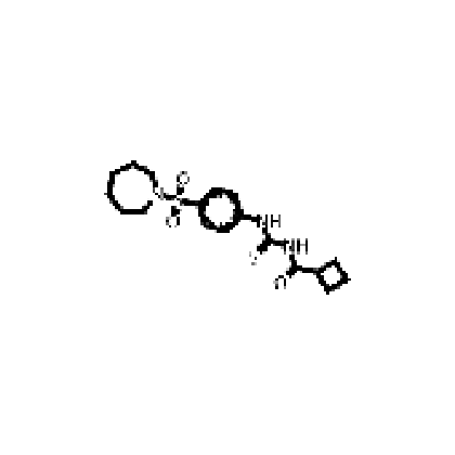 O=C(NC(=S)Nc1ccc(S(=O)(=O)N2CCCCCC2)cc1)C1CCC1